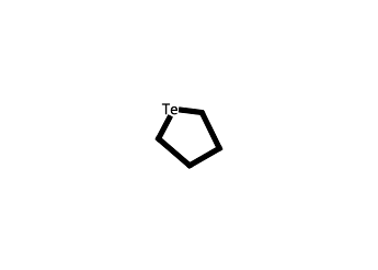 C1CC[Te]C1